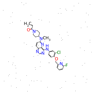 C=CC(=O)N1CCC(N(C)c2ccc3ncnc(Nc4ccc(OCc5cccc(F)n5)c(Cl)c4)c3n2)CC1